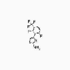 Nc1nc(-c2c(F)ccc(C(F)(F)F)c2F)cs1